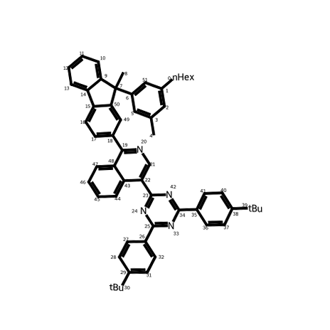 CCCCCCc1cc(C)cc(C2(C)c3ccccc3-c3ccc(-c4ncc(-c5nc(-c6ccc(C(C)(C)C)cc6)nc(-c6ccc(C(C)(C)C)cc6)n5)c5ccccc45)cc32)c1